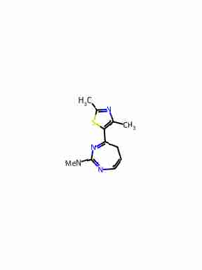 CNC1=NC=CCC(c2sc(C)nc2C)=N1